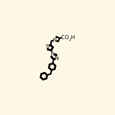 O=C(O)C1CN(Cc2cc(-n3cnc(-c4ccc(Cc5ccccc5)cc4)c3)cs2)C1